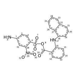 Nc1ccc(S(=O)(=O)OC(=O)c2ccccc2Nc2cccc3ccccc23)c([N+](=O)[O-])c1